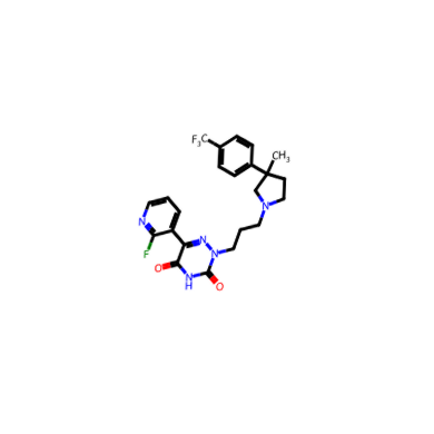 CC1(c2ccc(C(F)(F)F)cc2)CCN(CCCn2nc(-c3cccnc3F)c(=O)[nH]c2=O)C1